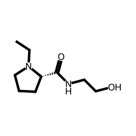 CCN1CCC[C@H]1C(=O)NCCO